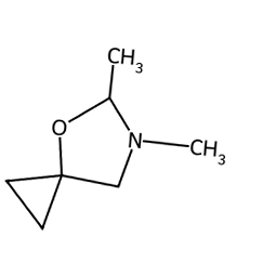 CC1OC2(CC2)CN1C